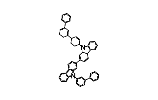 C1=CC2c3ccccc3N(C3C=CC(C4=CC(c5ccccc5)=CCC4)CC3)C2C=C1c1ccc2c3ccccc3n(-c3cccc(-c4ccccc4)c3)c2c1